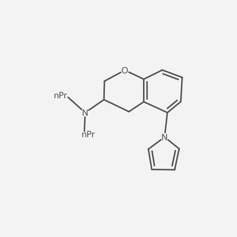 CCCN(CCC)C1COc2cccc(-n3cccc3)c2C1